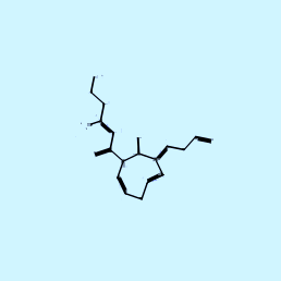 C=CC/C=C1\C=C\C/C=C\C(C(=C)/C=C(\N)CCC)C1C